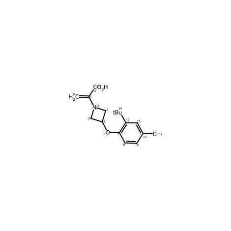 C=C(C(=O)O)N1CC(Oc2ccc(Cl)cc2C(C)(C)C)C1